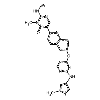 CC(C)Nc1ncc(-c2ccc3cc(Oc4ccnc(Nc5cnn(C)c5)n4)ccc3n2)c(=O)n1C